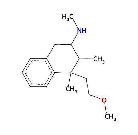 CNC1Cc2ccccc2C(C)(CCOC)C1C